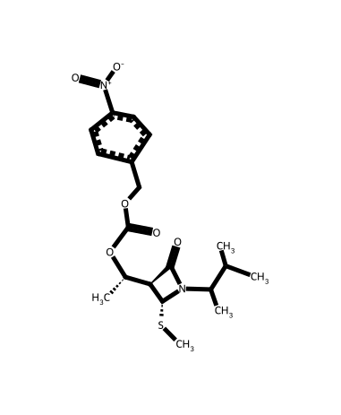 CS[C@@H]1[C@@H]([C@H](C)OC(=O)OCc2ccc([N+](=O)[O-])cc2)C(=O)N1C(C)C(C)C